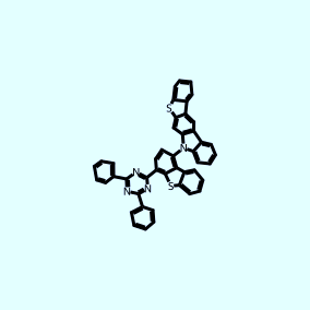 c1ccc(-c2nc(-c3ccccc3)nc(-c3ccc(-n4c5ccccc5c5cc6c(cc54)sc4ccccc46)c4c3sc3ccccc34)n2)cc1